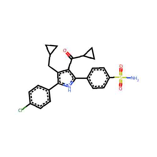 NS(=O)(=O)c1ccc(-c2[nH]c(-c3ccc(Cl)cc3)c(CC3CC3)c2C(=O)C2CC2)cc1